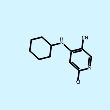 N#Cc1cnc(Cl)cc1NC1CCCCC1